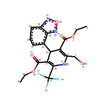 CCOC(=O)C1=C(CO)NC(C(F)(F)F)=C(C(=O)OCC)C1c1cccc2nonc12